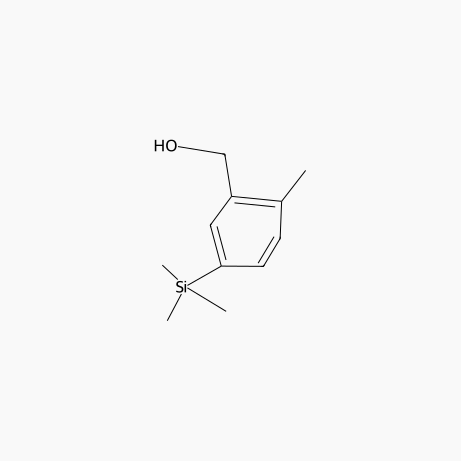 Cc1ccc([Si](C)(C)C)cc1CO